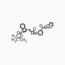 CC(C)(C)OC(=O)n1cc(/C=C/C(=O)Nc2cccc(C(=O)NCc3ccco3)c2)c2ccccc21